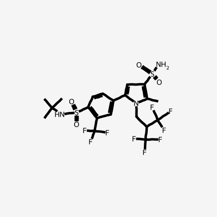 Cc1c(S(N)(=O)=O)cc(-c2ccc(S(=O)(=O)NC(C)(C)C)c(C(F)(F)F)c2)n1CC(C(F)(F)F)C(F)(F)F